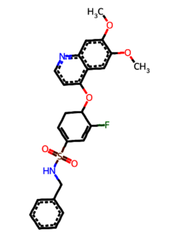 COc1cc2nccc(OC3CC=C(S(=O)(=O)NCc4ccccc4)C=C3F)c2cc1OC